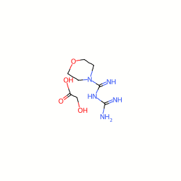 N=C(N)NC(=N)N1CCOCC1.O=C(O)CO